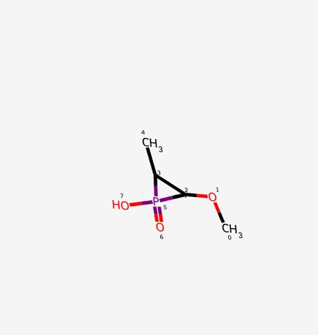 CO[C]1C(C)P1(=O)O